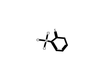 S=C1CC=CC=C1[Si](Cl)(Cl)Cl